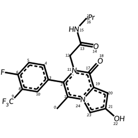 Cc1c(-c2ccc(F)c(C(F)(F)F)c2)n(CC(=O)NC(C)C)c(=O)c2cc(O)cn12